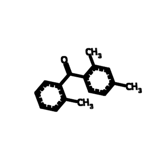 Cc1ccc(C(=O)c2ccccc2C)c(C)c1